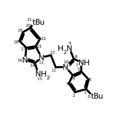 CC(C)(C)c1ccc2c(c1)[nH]c(N)[n+]2CCn1c(N)nc2ccc(C(C)(C)C)cc21